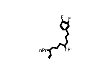 C=CC(CCC)CCCC(CCC)CCCc1ccc(F)c(F)c1